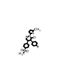 Cc1ccc(-n2ncc(-c3ccc(S(C)(=O)=O)cc3)c(-c3ccc(F)cc3)c2=O)s1